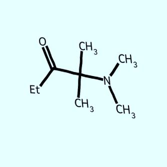 CCC(=O)C(C)(C)N(C)C